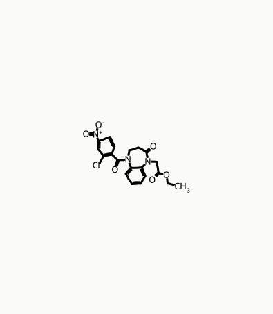 CCOC(=O)CN1C(=O)CCN(C(=O)c2ccc([N+](=O)[O-])cc2Cl)c2ccccc21